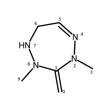 C=C1N(C)N=CCNN1C